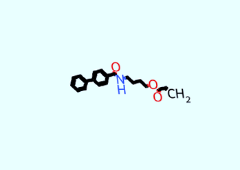 C=CC(=O)OCCCCNC(=O)c1ccc(-c2ccccc2)cc1